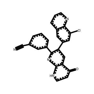 N#Cc1cccc(-c2nc3[nH]ccc(=O)c3cc2-c2cc(Cl)c3ncccc3c2)c1